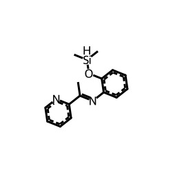 CC(=Nc1ccccc1O[SiH](C)C)c1ccccn1